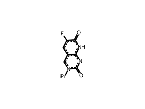 CC(C)n1cc2cc(F)c(=O)[nH]c2nc1=O